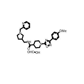 COc1ccc(-c2noc(N3CCC(C(=O)NCC4CCN(Cc5ccccn5)C4)CC3)n2)cc1.O=CO